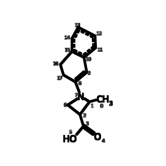 CC1C(C(=O)O)CN1C1=Cc2ccccc2CC1